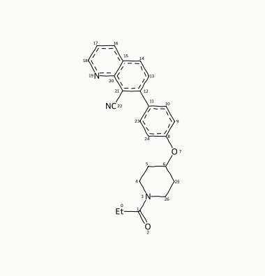 CCC(=O)N1CCC(Oc2ccc(-c3ccc4cccnc4c3C#N)cc2)CC1